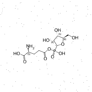 N[C@@H](CCC(=O)OP(=O)(O)[C]1O[C@H](CO)[C@@H](O)[C@H]1O)C(=O)O